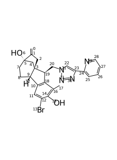 C=C1C[C@]23C[C@@]1(O)CC[C@H]2c1cc(Br)c(O)c(C)c1[C@@H]3Cn1cc(-c2ccccn2)nn1